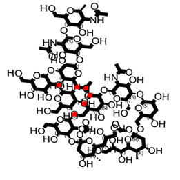 CC(=O)NC1C(O)[C@H](O[C@@H]2OC(CO[C@]3(OC=O)C[C@@H](O)[C@@H](C)C([C@H](O)[C@H](O)CO)O3)[C@H](O)CC2O)[C@H](CO)O[C@H]1OC1[C@@H](OCC2O[C@@H](O[C@@H]3C(CO)O[C@@H](O[C@@H]4C(CO)O[C@@H](C)C(NC(C)=O)[C@H]4O)C(NC(C)=O)[C@H]3O)C(O)[C@@H](O[C@H]3OC(CO)[C@@H](O)C(O)C3O[C@@H]3OC(CO)[C@@H](O[C@@H]4OC(CO)[C@H](O)[C@H](O[C@]5(OC=O)C[C@@H](O)[C@@H](C)C([C@H](O)[C@H](O)CO)O5)C4O)[C@H](O)C3NC(C)=O)[C@@H]2O)OC(CO)[C@@H](O)[C@@H]1O